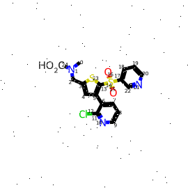 CN(Cc1cc(-c2cccnc2Cl)c(S(=O)(=O)c2cccnc2)s1)C(=O)O